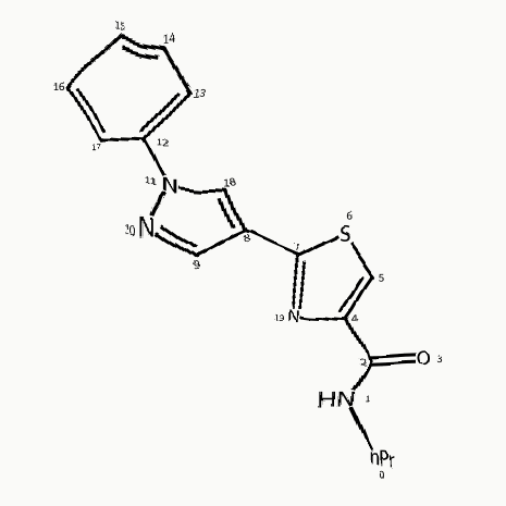 CCCNC(=O)c1csc(-c2cnn(-c3ccccc3)c2)n1